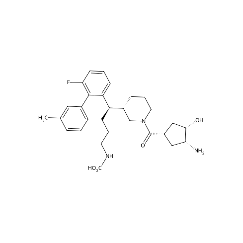 Cc1cccc(-c2c(F)cccc2[C@H](CCCNC(=O)O)[C@@H]2CCCN(C(=O)[C@H]3C[C@@H](N)[C@@H](O)C3)C2)c1